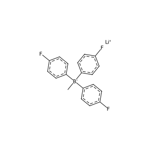 C[B-](c1ccc(F)cc1)(c1ccc(F)cc1)c1ccc(F)cc1.[Li+]